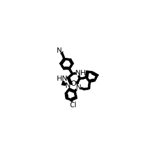 N#Cc1ccc(C(NC2C(=O)N(c3cccc(Cl)c3)CCc3ccccc32)c2cnc[nH]2)cc1